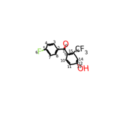 O=C(c1ccc(F)cc1)c1ccc(O)cc1C(F)(F)F